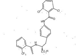 O=C(Nc1ccc(C[C@H](NC(=S)c2ccccc2C(F)(F)F)C(=O)O)cc1)c1c(Cl)cccc1Cl